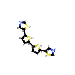 c1ncc(-c2ccc(-c3ccc(-c4cncs4)s3)s2)s1